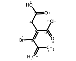 C=C(C)C(Br)=C(CC(=O)O)C(=O)O